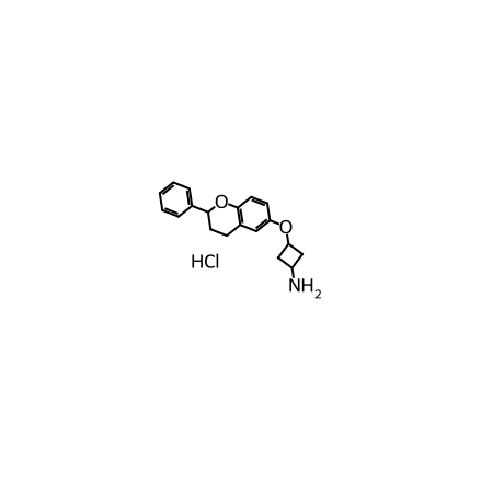 Cl.NC1CC(Oc2ccc3c(c2)CCC(c2ccccc2)O3)C1